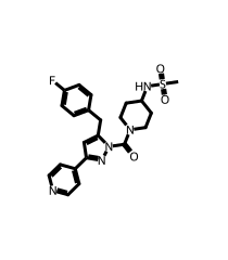 CS(=O)(=O)NC1CCN(C(=O)n2nc(-c3ccncc3)cc2Cc2ccc(F)cc2)CC1